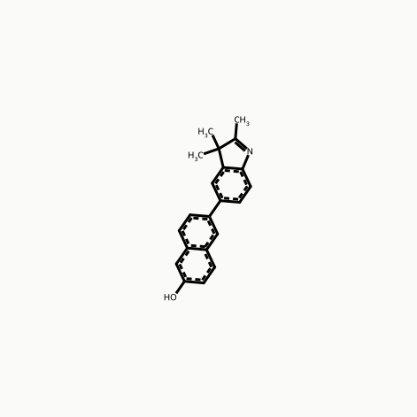 CC1=Nc2ccc(-c3ccc4cc(O)ccc4c3)cc2C1(C)C